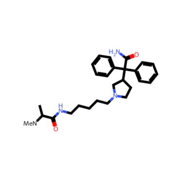 CNC(C)C(=O)NCCCCCN1CCC(C(C(N)=O)(c2ccccc2)c2ccccc2)C1